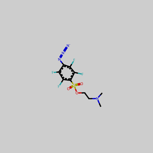 CN(C)CCOS(=O)(=O)c1c(F)c(F)c(N=[N+]=[N-])c(F)c1F